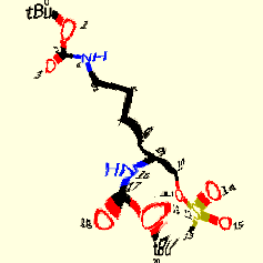 CC(C)(C)OC(=O)NCCCCC(COS(C)(=O)=O)NC(=O)OC(C)(C)C